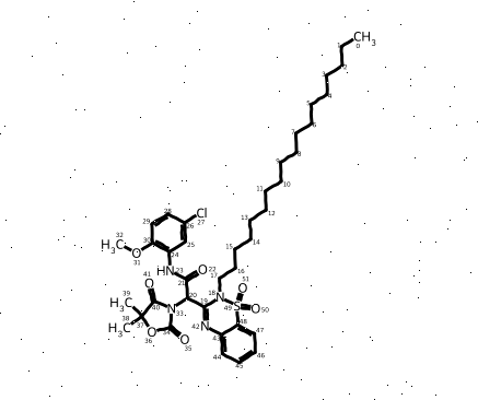 CCCCCCCCCCCCCCCCCCN1C(C(C(=O)Nc2cc(Cl)ccc2OC)N2C(=O)OC(C)(C)C2=O)=Nc2ccccc2S1(=O)=O